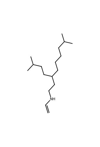 C=CNCCC(CCCCC(C)C)CCC(C)C